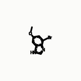 COc1cc(Br)c2nc[nH]c2c1